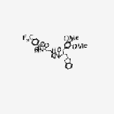 COc1cc([C@@H](O)[C@@H](CC2Cc3ccccc3C2)Cn2ccc(CCC(=O)NS(=O)(=O)c3ccc(C(F)(F)F)cc3)c2)cc(OC)c1C